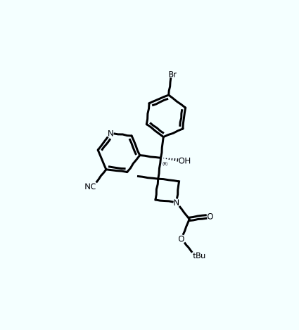 CC(C)(C)OC(=O)N1CC(C)([C@](O)(c2ccc(Br)cc2)c2cncc(C#N)c2)C1